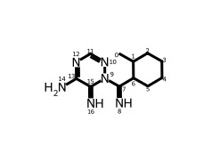 CC1CCCCC1C(=N)n1ncnc(N)c1=N